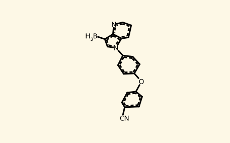 Bc1cn(-c2ccc(Oc3ccc(C#N)cc3)cc2)c2cccnc12